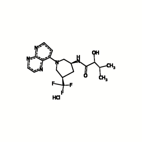 CC(C)C(O)C(=O)N[C@H]1C[C@@H](C(F)(F)F)CN(c2ccnc3nccnc23)C1.Cl